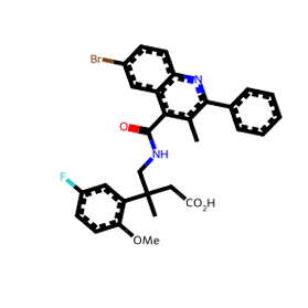 COc1ccc(F)cc1C(C)(CNC(=O)c1c(C)c(-c2ccccc2)nc2ccc(Br)cc12)CC(=O)O